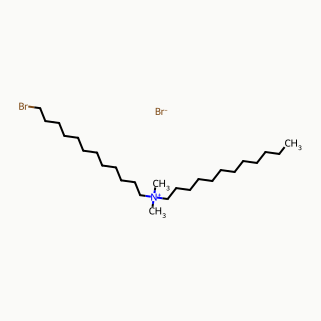 CCCCCCCCCCCC[N+](C)(C)CCCCCCCCCCCCBr.[Br-]